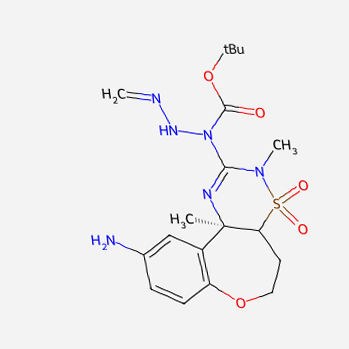 C=NNN(C(=O)OC(C)(C)C)C1=N[C@]2(C)c3cc(N)ccc3OCCC2S(=O)(=O)N1C